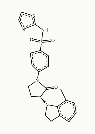 Cc1cccc2c1N([C@H]1CCN(c3ccc(S(=O)(=O)Nc4nccs4)cc3)C1=O)CC2